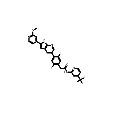 COc1cc(-c2cc3cc(-c4cc(F)c(CC(=O)Nc5cc(C(F)(F)F)ccn5)cc4F)cnc3[nH]2)ccn1